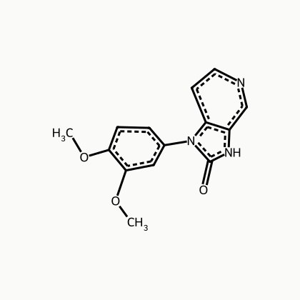 COc1ccc(-n2c(=O)[nH]c3cnccc32)cc1OC